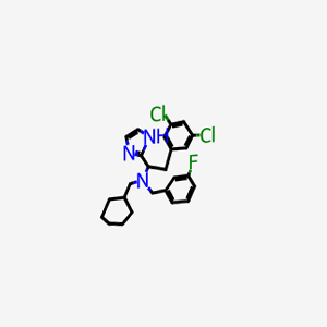 Fc1cccc(CN(CC2CCCCC2)C(Cc2cc(Cl)cc(Cl)c2)c2ncc[nH]2)c1